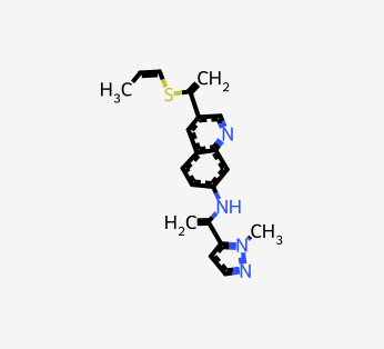 C=C(S/C=C\C)c1cnc2cc(NC(=C)c3ccnn3C)ccc2c1